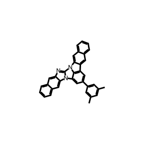 Cc1cc(C)cc(-c2cc3c4cc5ccccc5cc4n4c3c(c2)n2c3cc5ccccc5cc3nc24)c1